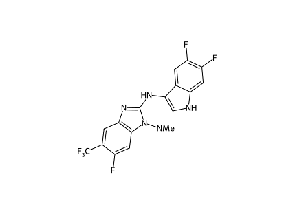 CNn1c(Nc2c[nH]c3cc(F)c(F)cc23)nc2cc(C(F)(F)F)c(F)cc21